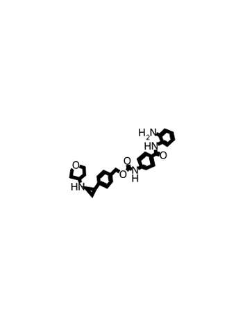 Nc1ccccc1NC(=O)c1ccc(NC(=O)OCc2ccc(C3C[C@@H]3NC3CCOCC3)cc2)cc1